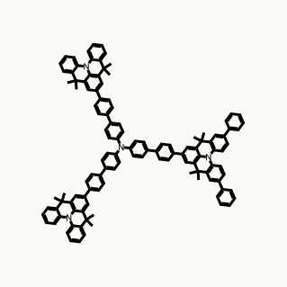 CC1(C)c2ccccc2N2c3ccccc3C(C)(C)c3cc(-c4ccc(-c5ccc(N(c6ccc(-c7ccc(-c8cc9c%10c(c8)C(C)(C)c8ccccc8N%10c8ccccc8C9(C)C)cc7)cc6)c6ccc(-c7ccc(-c8cc9c%10c(c8)C(C)(C)c8cc(-c%11ccccc%11)ccc8N%10c8ccc(-c%10ccccc%10)cc8C9(C)C)cc7)cc6)cc5)cc4)cc1c32